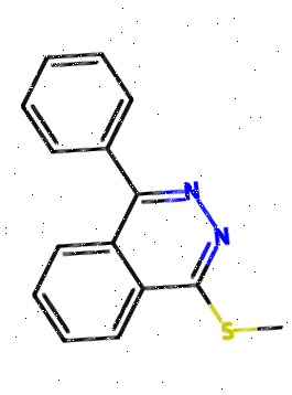 CSc1nnc(-c2ccccc2)c2ccccc12